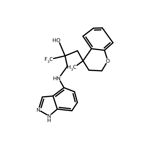 CC1(CC(O)(CNc2cccc3[nH]ncc23)C(F)(F)F)CCOc2ccccc21